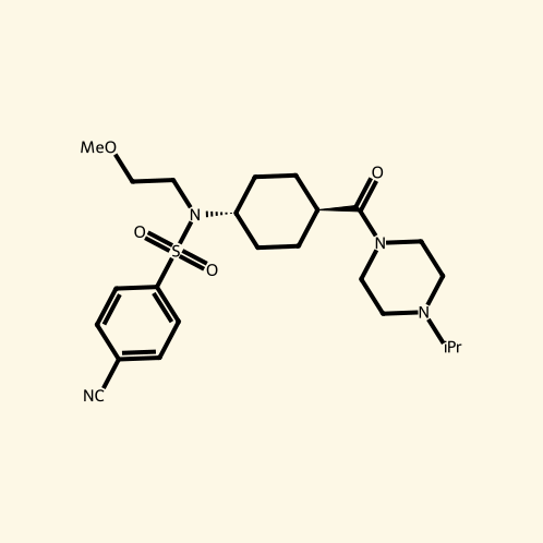 COCCN([C@H]1CC[C@H](C(=O)N2CCN(C(C)C)CC2)CC1)S(=O)(=O)c1ccc(C#N)cc1